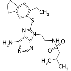 CCc1cc2c(cc1Sc1nc3c(N)ncnc3n1CCNS(=O)(=O)CC(C)C)CCC2